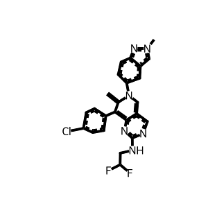 C=C1C(c2ccc(Cl)cc2)=c2nc(NCC(F)F)ncc2=CN1c1ccc2nn(C)cc2c1